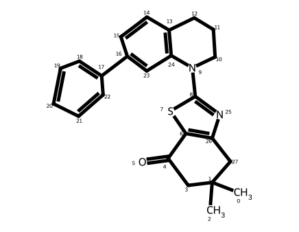 CC1(C)CC(=O)c2sc(N3CCCc4ccc(-c5ccccc5)cc43)nc2C1